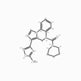 CC(C)(C)c1nc(-c2ncn3c2CN(C(=O)N2CCCCC2)c2ccccc2-3)no1